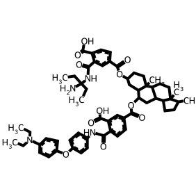 CCN(CC)c1ccc(Oc2ccc(NC(=O)c3ccc(C(=O)OC4CC5C6CCC(C)C6(C)CCC5C5(C)CCC(OC(=O)c6ccc(C(=O)O)c(C(=O)NC(N)(CC)CC)c6)CC45)cc3C(=O)O)cc2)cc1